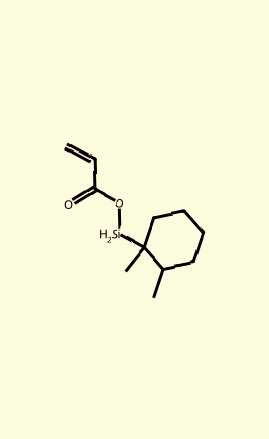 C=CC(=O)O[SiH2]C1(C)CCCCC1C